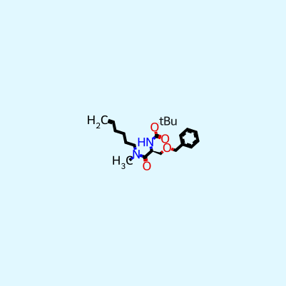 C=CCCCCN(C)C(=O)[C@H](COCc1ccccc1)NC(=O)OC(C)(C)C